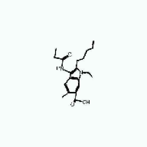 CCCCCc1c(NC(=O)CC)c2cc(C)c(C(=O)O)cc2n1CC